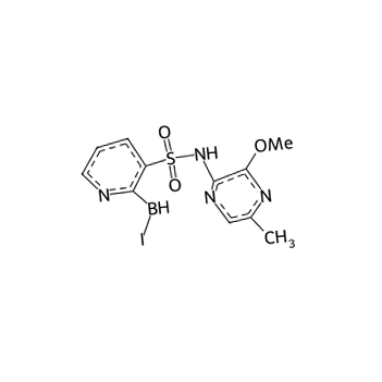 COc1nc(C)cnc1NS(=O)(=O)c1cccnc1BI